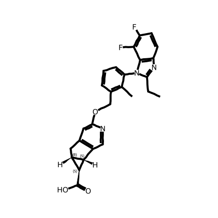 CCc1nc2ccc(F)c(F)c2n1-c1cccc(COc2cc3c(cn2)[C@H]2[C@@H](C3)[C@@H]2C(=O)O)c1C